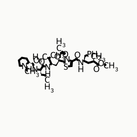 CCC[C@H](NC(=O)[C@H]1CCCCN1C)C(=O)N[C@H](C[C@@H](OC(C)=O)c1nc(C(=O)N[C@@H](CP)C[C@H](C)C(=O)OC)cs1)C(C)C